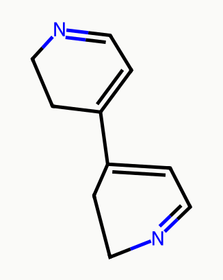 C1=NCCC(C2=CC=NCC2)=C1